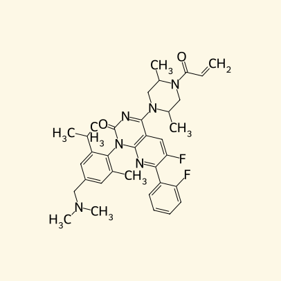 C=CC(=O)N1CC(C)N(c2nc(=O)n(-c3c(C)cc(CN(C)C)cc3C(C)C)c3nc(-c4ccccc4F)c(F)cc23)CC1C